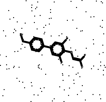 FC(F)=COc1c(F)cc(-c2ccc(CBr)cc2)cc1F